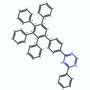 c1ccc(-c2ncnc(-c3ccc(-c4cc(-c5ccccc5)c(-c5ccccc5)c(-c5ccccc5)c4-c4ccccc4)cc3)n2)cc1